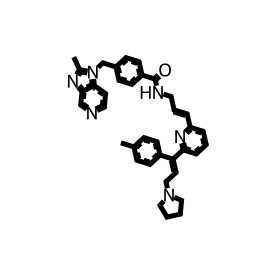 Cc1ccc(/C(=C\CN2CCCC2)c2cccc(/C=C/CNC(=O)c3ccc(Cn4c(C)nc5cnccc54)cc3)n2)cc1